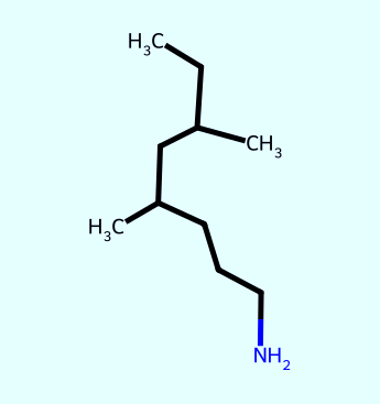 CCC(C)CC(C)CCCN